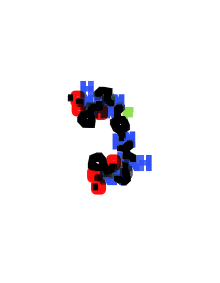 COC(=O)N[C@H](C(=O)N1CCC[C@H]1c1ncc(-c2ccc(-c3ncc(-c4c[nH]c([C@@H]5CCCN5C(=O)[C@H](NC(=O)OC)c5ccccc5)n4)cn3)cc2F)[nH]1)c1ccccc1